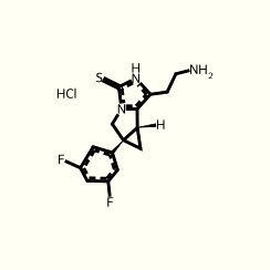 Cl.NCCc1[nH]c(=S)n2c1[C@@H]1C[C@]1(c1cc(F)cc(F)c1)C2